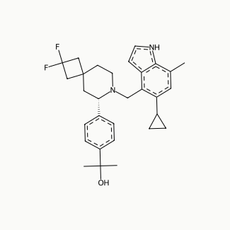 Cc1cc(C2CC2)c(CN2CCC3(C[C@H]2c2ccc(C(C)(C)O)cc2)CC(F)(F)C3)c2cc[nH]c12